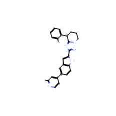 Cc1cc(-c2ccc3[nH]c(-c4nc5n(n4)CCCC5c4ccccc4C)cc3c2)ccn1